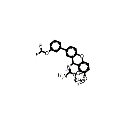 CN(C=O)/C(N)=N\C1c2cc(OC(F)(F)F)ccc2Oc2ccc(-c3cccc(OC(F)F)c3)cc21